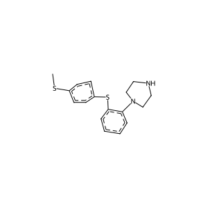 CSc1ccc(Sc2ccccc2N2CCNCC2)cc1